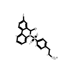 CCC1c2cc(F)ccc2-c2ccccc2N1S(=O)(=O)c1ccc(CCC(=O)O)cc1